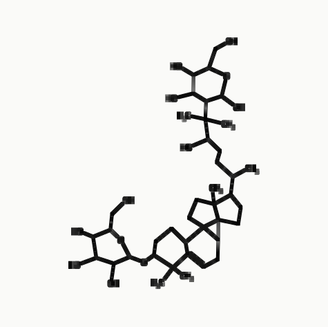 CC(CCC(O)C(C)(C)C1C(O)OC(CO)C(O)C1O)C1CCC23C4CC=C5C(CCC(OC6OC(CO)C(O)C(O)C6O)C5(C)C)C42CCC13C